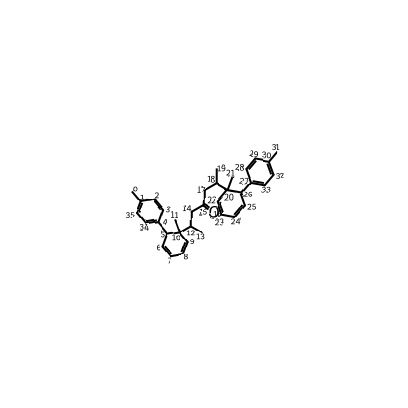 Cc1ccc(C2C=CC=CC2(C)C(C)CC(=O)CC(C)C2(C)C=CC=CC2c2ccc(C)cc2)cc1